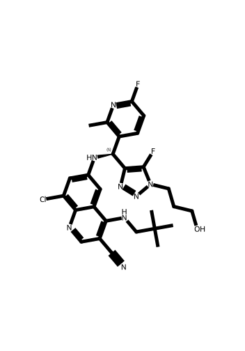 Cc1nc(F)ccc1[C@H](Nc1cc(Cl)c2ncc(C#N)c(NCC(C)(C)C)c2c1)c1nnn(CCCO)c1F